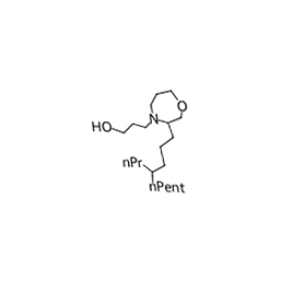 CCCCCC(CCC)CCCC1COCCCN1CCCO